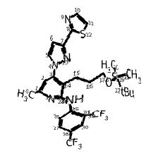 Cc1cc(-n2ccc(-c3nccs3)n2)c(CCCO[Si](C)(C)C(C)(C)C)c(Nc2ccc(C(F)(F)F)cc2C(F)(F)F)n1